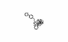 CCCC(CCc1ccc(Cl)cc1)(Cn1ccnc1)Sc1ccccc1Cl